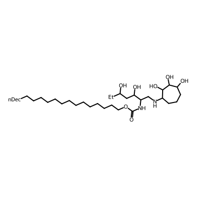 CCCCCCCCCCCCCCCCCCCCCCCCOC(=O)NC(CNC1CCCC(O)C(O)C1O)C(O)CC(O)CC